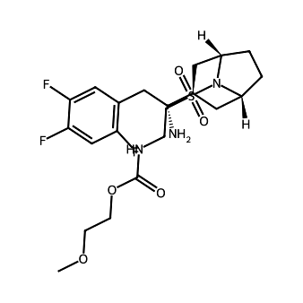 COCCOC(=O)NCCS(=O)(=O)N1[C@@H]2CC[C@H]1C[C@H]([C@H](N)Cc1cc(F)c(F)cc1F)C2